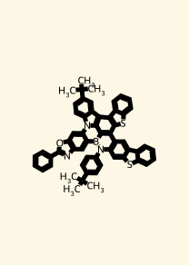 CC(C)(C)c1ccc(N2B3c4cc5nc(-c6ccccc6)oc5cc4-n4c5ccc(C(C)(C)C)cc5c5c6c(sc7ccccc76)c(c3c54)-c3cc4c(cc32)sc2ccccc24)cc1